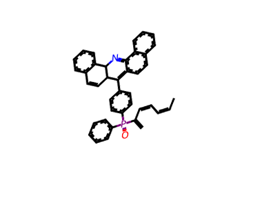 C=C(/C=C\C=C/C)P(=O)(c1ccccc1)c1ccc(C2=c3ccc4ccccc4c3=NC3c4ccccc4C=CC23)cc1